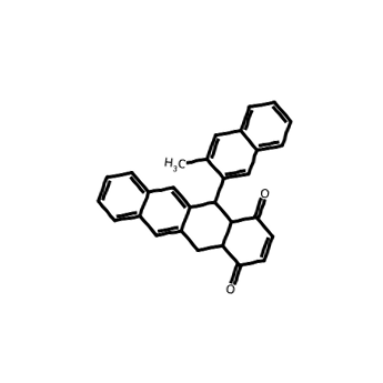 Cc1cc2ccccc2cc1C1c2cc3ccccc3cc2CC2C(=O)C=CC(=O)C21